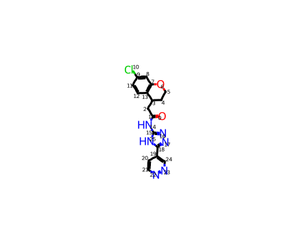 O=C(CC1CCOc2cc(Cl)ccc21)Nc1nnc(-c2ccnnc2)[nH]1